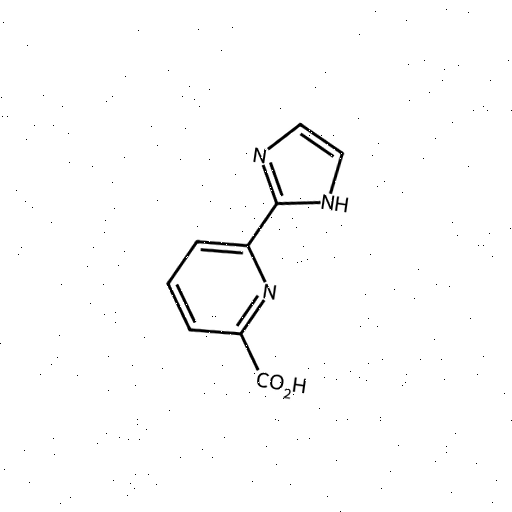 O=C(O)c1cccc(-c2ncc[nH]2)n1